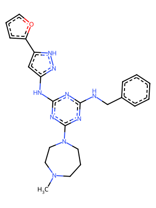 CN1CCCN(c2nc(NCc3ccccc3)nc(Nc3cc(-c4ccco4)[nH]n3)n2)CC1